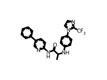 CC(Nc1ccc(-n2ccnc2C(F)(F)F)cc1)C(=O)Nc1ccc(-c2ccccc2)cn1